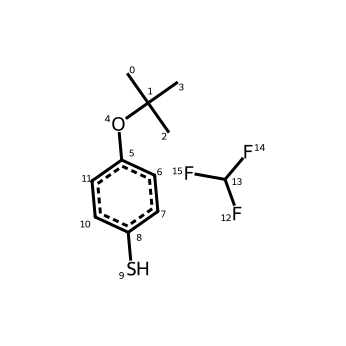 CC(C)(C)Oc1ccc(S)cc1.FC(F)F